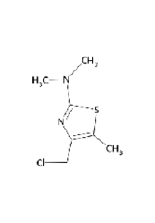 Cc1sc(N(C)C)nc1CCl